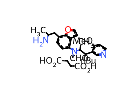 CCCCC(c1cnccc1OC)C(C)N(C=O)c1ccc(CC(C)N)c2occc12.O=C(O)CCC(=O)O